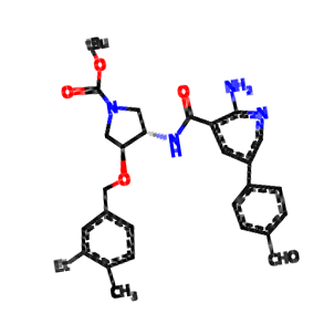 CCc1cc(CO[C@H]2CN(C(=O)OC(C)(C)C)C[C@@H]2NC(=O)c2cc(-c3ccc(C=O)cc3)cnc2N)ccc1C